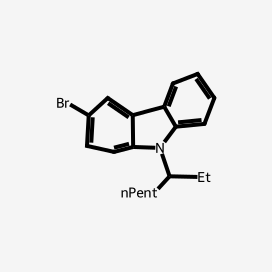 CCCCCC(CC)n1c2ccccc2c2cc(Br)ccc21